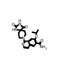 CC(C)Oc1cc2c(N3CCC4(CC3)NC(=O)NC4=O)nccc2cc1C(N)=O